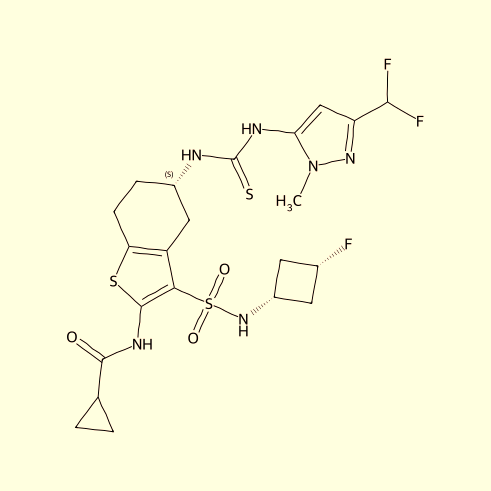 Cn1nc(C(F)F)cc1NC(=S)N[C@H]1CCc2sc(NC(=O)C3CC3)c(S(=O)(=O)N[C@H]3C[C@@H](F)C3)c2C1